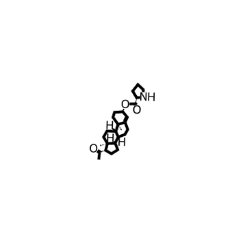 CC(=O)[C@H]1CC[C@H]2[C@@H]3CCC4=C[C@@H](OC(=O)[C@@H]5CCCN5)CC[C@]4(C)[C@H]3CC[C@]12C